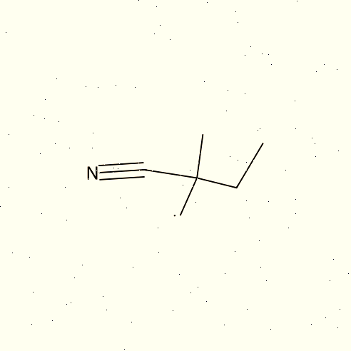 [CH2]C(C)(C#N)CC